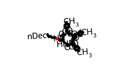 CCCCCCCCCCCCCCCCCCC1CNC(=O)CN(S(=O)(=O)c2ccc(C)cc2)CCN(S(=O)(=O)c2ccc(C)cc2)CCN(S(=O)(=O)c2ccc(C)cc2)CC(=O)N1